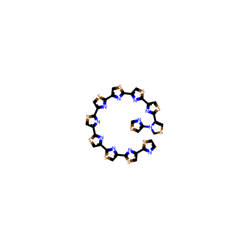 [c]1csc(-c2csc(-c3csc(-c4csc(-c5csc(-c6csc(-c7csc(-c8csc(-c9csc(C%10=CSCN%10c%10cscn%10)n9)n8)n7)n6)n5)n4)n3)n2)n1